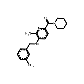 Bc1cccc(CNc2ccc(C(=O)N3CCCCC3)nc2N)c1